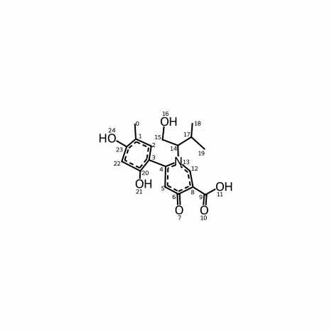 Cc1cc(-c2cc(=O)c(C(=O)O)cn2C(CO)C(C)C)c(O)cc1O